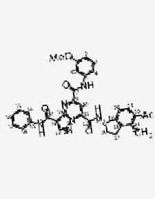 COc1cccc(NC(=O)c2cc(C(=O)N[C@H]3CCc4c3ccc(C(C)=O)c4C)n3ncc(C(=O)Nc4ccccc4)c3n2)c1